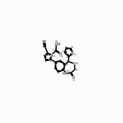 N#Cc1ccc(-c2ccc3c(c2)C(c2cccs2)OCC(=O)N3)n1C(=O)O